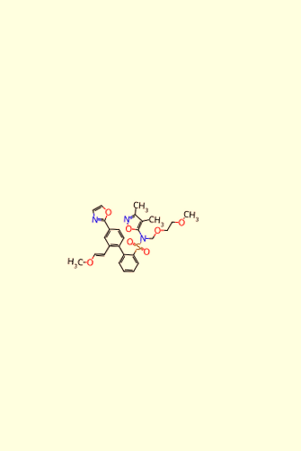 COC=Cc1cc(-c2ncco2)ccc1-c1ccccc1S(=O)(=O)N(COCCOC)c1onc(C)c1C